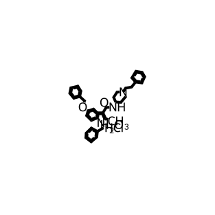 Cc1c(C(=O)NC2CCN(CCc3ccccc3)CC2)c2cc(OCc3ccccc3)ccc2n1Cc1ccccc1.Cl.O